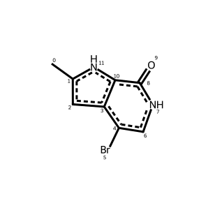 Cc1cc2c(Br)c[nH]c(=O)c2[nH]1